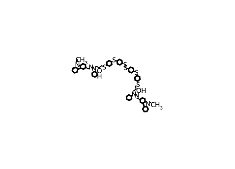 CCn1c2ccccc2c2cc(/C=N/N(CC(O)CSc3ccc(Sc4ccc(SSc5ccc(Sc6ccc(SCC(O)CN(/N=C/c7ccc8c(c7)c7ccccc7n8CC)c7ccccc7)cc6)cc5)cc4)cc3)c3ccccc3)ccc21